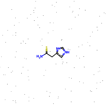 NC(=S)Cc1c[nH]cn1